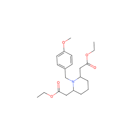 CCOC(=O)CC1CCCC(CC(=O)OCC)N1Cc1ccc(OC)cc1